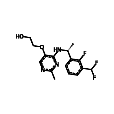 Cc1ncc(OCCO)c(N[C@H](C)c2cccc(C(F)F)c2F)n1